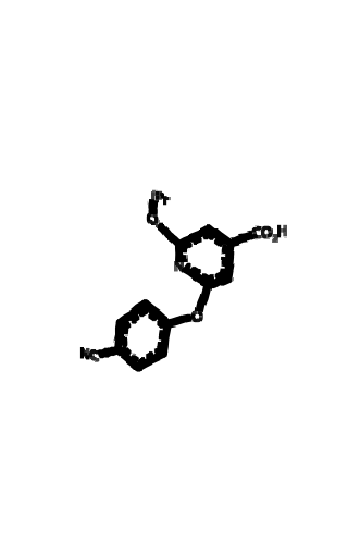 CC(C)Oc1cc(C(=O)O)cc(Oc2ccc(C#N)cc2)n1